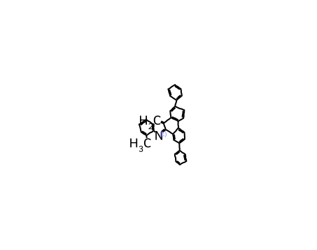 C=C1/C(=N\c2ccccc2C)c2cc(-c3ccccc3)ccc2-c2ccc(-c3ccccc3)cc21